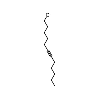 CCCCCC#CCCCCC[O]